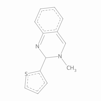 CN1C=c2ccccc2=NC1c1cccs1